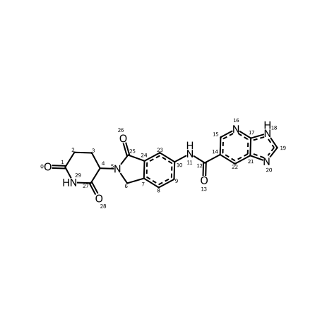 O=C1CCC(N2Cc3ccc(NC(=O)c4cnc5[nH]cnc5c4)cc3C2=O)C(=O)N1